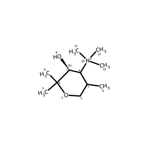 CC1COC(C)(C)[C@@H](O)C1[N+](C)(C)C